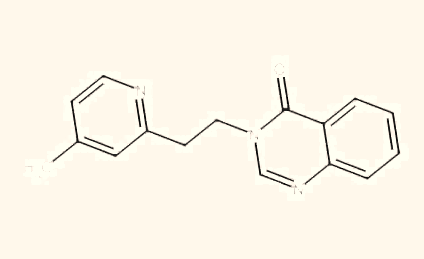 Cc1ccnc(CCn2cnc3ccccc3c2=O)c1